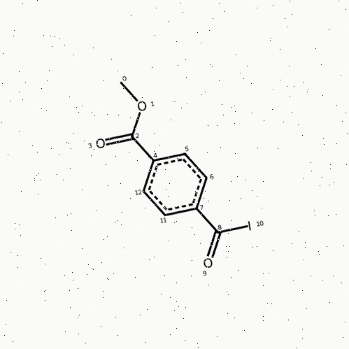 COC(=O)c1ccc(C(=O)I)cc1